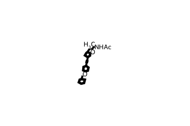 CC(=O)N[C@@H](C)[C@@H]1Cc2ccc(C#Cc3ccc(OCc4ccccc4)cc3)cc2O1